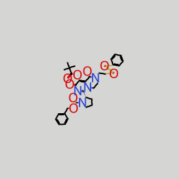 CC(C)(C)C(=O)Oc1c2n(c([C@@H]3CCCN3C(=O)OCc3ccccc3)nc1=O)CCN(CCS(=O)(=O)c1ccccc1)C2=O